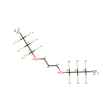 FC(F)(F)C(F)(F)C(F)(F)C(F)(F)OCCCOC(F)(F)C(F)(F)C(F)(F)C(F)(F)F